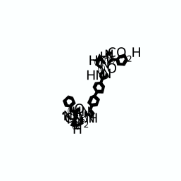 CN(C(=O)O)[C@@H](C(=O)N1[C@H](c2ncc(-c3ccc(-c4ccc(-c5cnc([C@@H]6C[C@@H]7C[C@@H]7N6C(=O)[C@@H](c6ccccc6)N(C)C(=O)O)[nH]5)cc4)cc3)[nH]2)C[C@@H]2C[C@@H]21)c1ccccc1